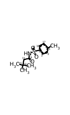 Cc1ccc(S(=O)(=O)NC(=O)CC(C)(C)C)cc1